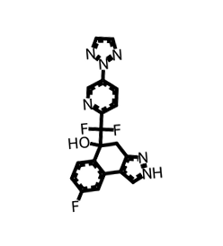 OC1(C(F)(F)c2ccc(-n3nccn3)cn2)Cc2n[nH]cc2-c2cc(F)ccc21